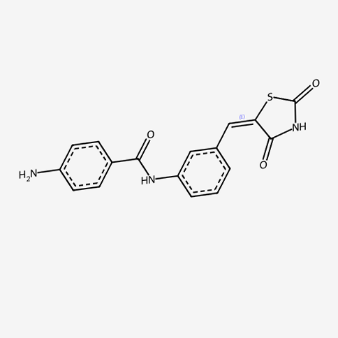 Nc1ccc(C(=O)Nc2cccc(/C=C3/SC(=O)NC3=O)c2)cc1